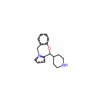 c1ccc2c(c1)Cn1cccc1C(C1CCNCC1)O2